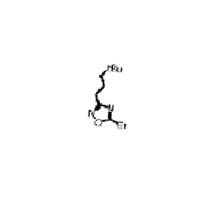 CCc1nc(CCCC(C)(C)C)no1